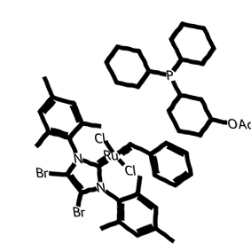 CC(=O)OC1CCCC(P(C2CCCCC2)C2CCCCC2)C1.Cc1cc(C)c(-n2c(Br)c(Br)n(-c3c(C)cc(C)cc3C)[c]2=[Ru]([Cl])([Cl])=[CH]c2ccccc2)c(C)c1